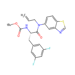 C=CCN(C(=O)[C@H](Cc1cc(F)cc(F)c1)NC(=O)OC(C)(C)C)c1ccc2scnc2c1